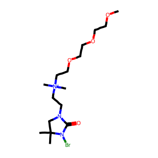 COCCOCCOCC[N+](C)(C)CCN1CC(C)(C)N(Br)C1=O